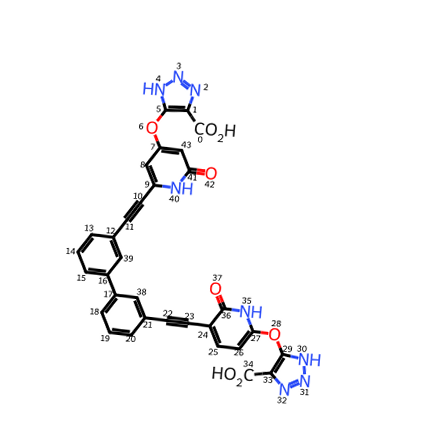 O=C(O)c1nn[nH]c1Oc1cc(C#Cc2cccc(-c3cccc(C#Cc4ccc(Oc5[nH]nnc5C(=O)O)[nH]c4=O)c3)c2)[nH]c(=O)c1